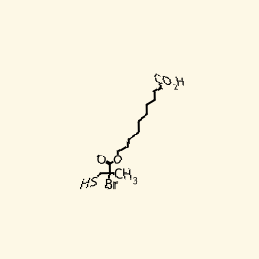 CC(Br)(CS)C(=O)OCCCCCCCCCCC(=O)O